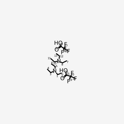 CCN(CC)CC.CCN(CC)CC.O=C(O)C(F)(F)F.O=C(O)C(F)(F)F